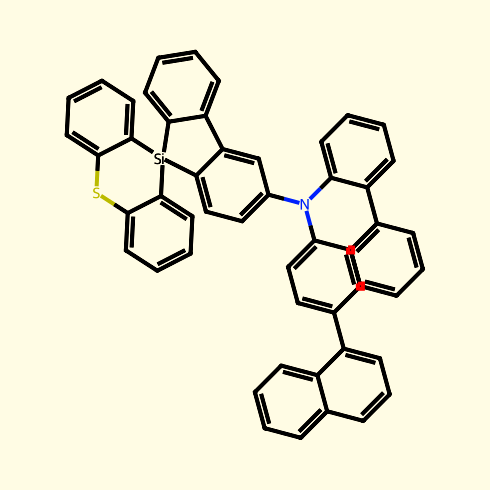 c1ccc(-c2ccccc2N(c2ccc(-c3cccc4ccccc34)cc2)c2ccc3c(c2)-c2ccccc2[Si]32c3ccccc3Sc3ccccc32)cc1